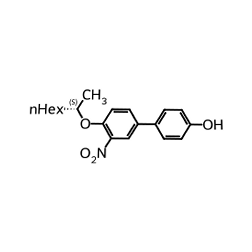 CCCCCC[C@H](C)Oc1ccc(-c2ccc(O)cc2)cc1[N+](=O)[O-]